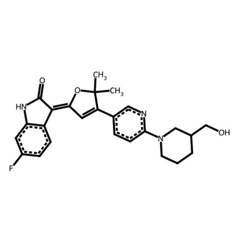 CC1(C)OC(=C2C(=O)Nc3cc(F)ccc32)C=C1c1ccc(N2CCCC(CO)C2)nc1